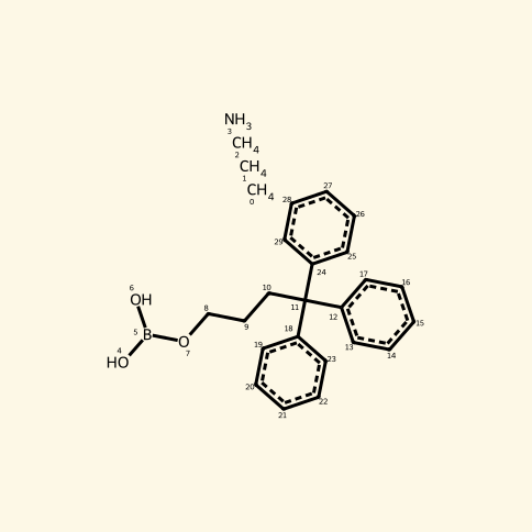 C.C.C.N.OB(O)OCCCC(c1ccccc1)(c1ccccc1)c1ccccc1